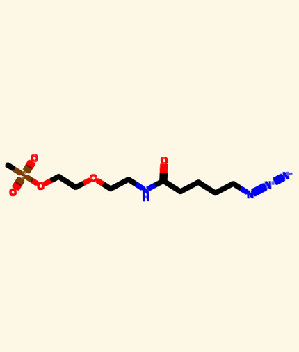 CS(=O)(=O)OCCOCCNC(=O)CCCCN=[N+]=[N-]